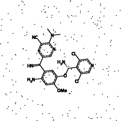 COc1cc(N)c(C(=N)c2cnc(N(C)C)c(C#N)c2)cc1O[C@H](N)c1c(Cl)cncc1Cl